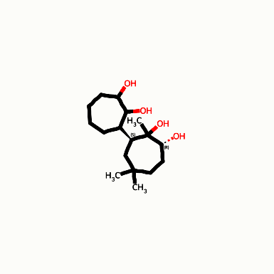 CC1(C)CC[C@@H](O)C(C)(O)[C@H](C2CCCCC(O)C2O)C1